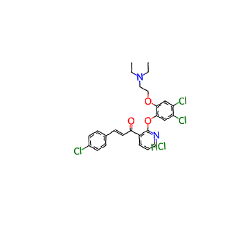 CCN(CC)CCOc1cc(Cl)c(Cl)cc1Oc1ncccc1C(=O)C=Cc1ccc(Cl)cc1.Cl